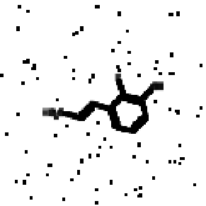 N#Cc1cccc(/C=C/C(=O)O)c1F